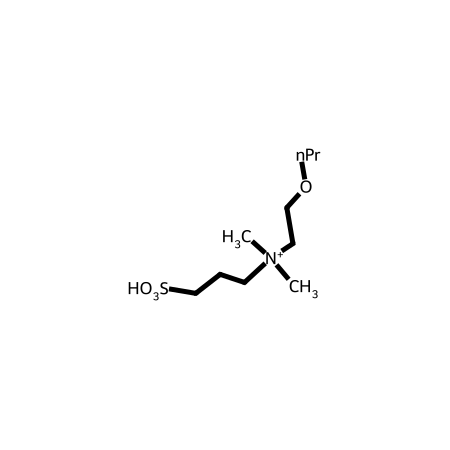 CCCOCC[N+](C)(C)CCCS(=O)(=O)O